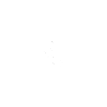 CN(C)CCN(C(=O)N(C)C)c1cc(C(F)(F)F)ccn1.Cl